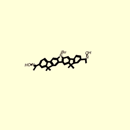 CCC(C)n1c2cc3c(cc2c2cc4c(cc21)-c1ccc(/C(C)=N/O)cc1C4(C)C)C(C)(C)c1cc(/C(C)=N\O)ccc1-3